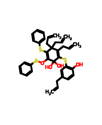 C=CCC1=C(Sc2cc(CC=C)ccc2O)C(O)(O)C(OSc2ccccc2)=C(Sc2ccccc2)C1(CC=C)CC=C